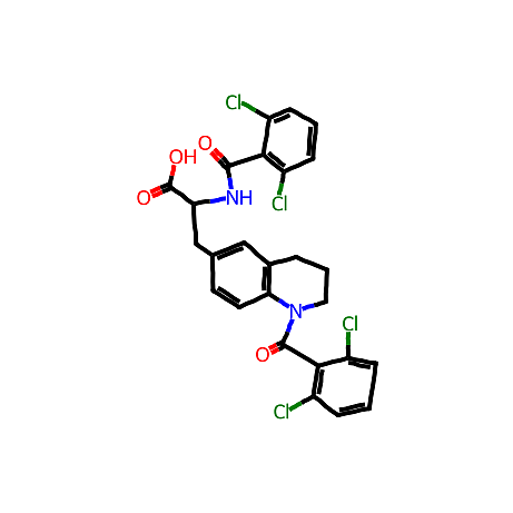 O=C(NC(Cc1ccc2c(c1)CCCN2C(=O)c1c(Cl)cccc1Cl)C(=O)O)c1c(Cl)cccc1Cl